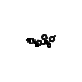 Cc1ccc(C(=O)N(Cc2ccc(N3CCN(C)CC3)nc2)c2ccccc2)cc1